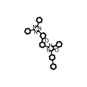 c1ccc(-c2ccc(-c3nc(-c4cccc5c4oc4ccc(-c6nc(-c7ccccc7)nc(-c7ccccc7)n6)cc45)nc4c3oc3ccccc34)cc2)cc1